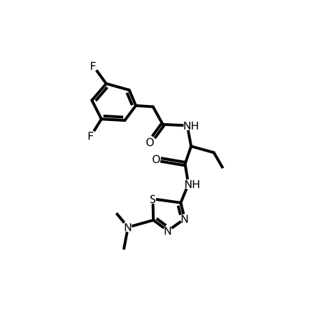 CCC(NC(=O)Cc1cc(F)cc(F)c1)C(=O)Nc1nnc(N(C)C)s1